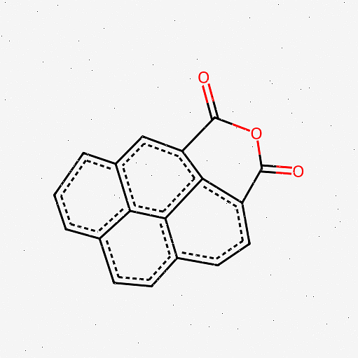 O=C1OC(=O)c2cc3cccc4ccc5ccc1c2c5c43